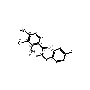 Cc1ccc(CN(C)C(=O)c2ccc(O)c(Cl)c2O)cc1